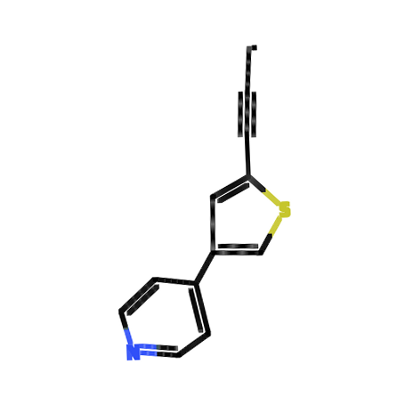 [CH2]C#Cc1cc(-c2ccncc2)cs1